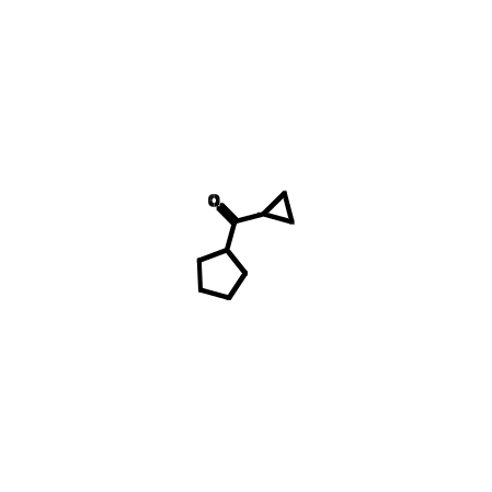 O=C([C]1CC1)C1CCCC1